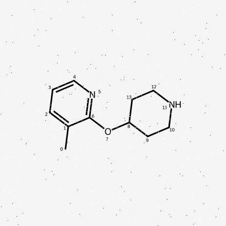 Cc1cccnc1OC1CCNCC1